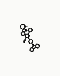 CN1C=CC=Cc2c1n(-c1ccccc1-c1ccc(C#N)c(C3C=CC(n4c5ccccc5c5ccccc54)=CC3)c1)c1ccccc21